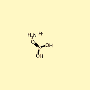 N.O=S(O)O.[H]